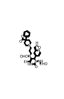 CCC1=C(N(C=O)CCCN2CCC(C(=O)OC)(c3ccccc3)CC2)C(C2=CC3=CNON3C=C2)N(NC=O)C(=O)N1